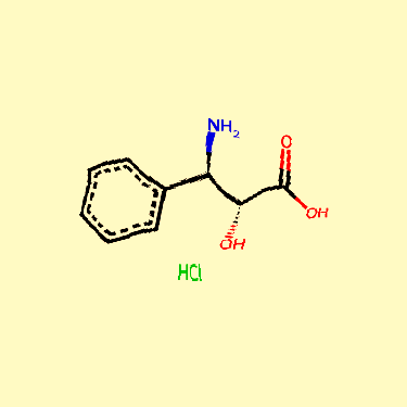 Cl.N[C@H](c1ccccc1)[C@@H](O)C(=O)O